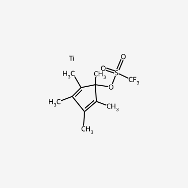 CC1=C(C)C(C)(OS(=O)(=O)C(F)(F)F)C(C)=C1C.[Ti]